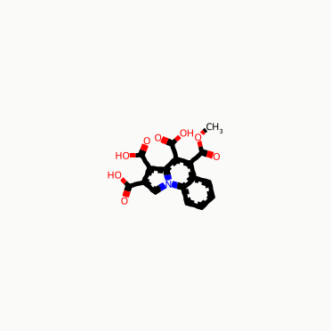 COC(=O)c1c(C(=O)O)c2c(C(=O)O)c(C(=O)O)cn2c2ccccc12